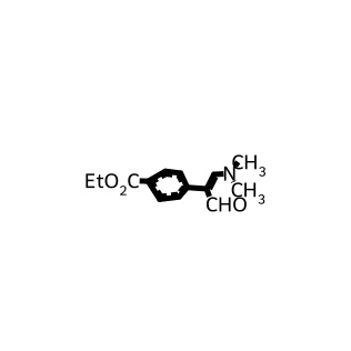 CCOC(=O)c1ccc(C(C=O)=CN(C)C)cc1